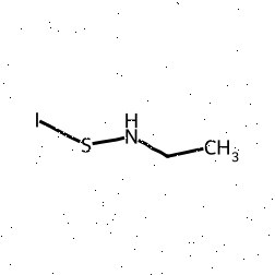 CCNSI